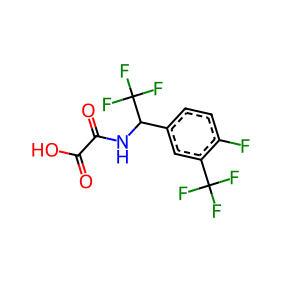 O=C(O)C(=O)NC(c1ccc(F)c(C(F)(F)F)c1)C(F)(F)F